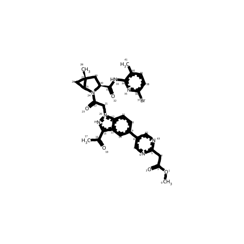 COC(=O)Cc1ncc(-c2ccc3c(c2)c(C(C)=O)nn3CC(=O)N2C3C[C@]3(C)C[C@H]2C(=O)Nc2nc(Br)ccc2C)cn1